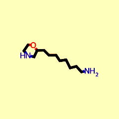 NCCCCCCCCC1CNCCO1